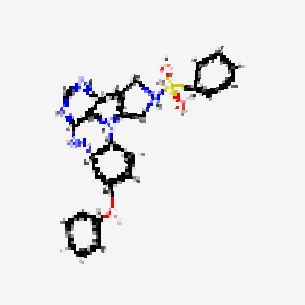 Nc1ncnc2c3c(n(-c4ccc(Oc5ccccc5)cc4)c12)CN(S(=O)(=O)c1ccccc1)C3